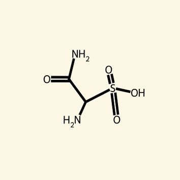 NC(=O)C(N)S(=O)(=O)O